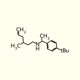 C=CCC(C)CCNC(C)c1ccc(C(C)(C)C)cc1